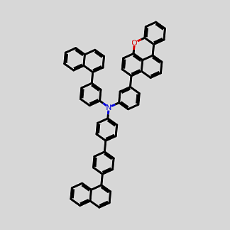 c1cc(-c2cccc3ccccc23)cc(N(c2ccc(-c3ccc(-c4cccc5ccccc45)cc3)cc2)c2cccc(-c3ccc4c5c(cccc35)-c3ccccc3O4)c2)c1